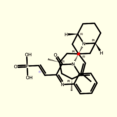 CC1=C[C@@H](N2[C@@H]3CCC[C@H]2C[C@@H](n2c(=O)c(/C=C/P(=O)(O)O)nc4ccccc42)C3)C[C@@H](C)C[C@H]1C